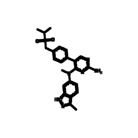 Cc1n[nH]c2cc(N(C)c3nc(N)ncc3-c3ccc(CS(=O)(=O)C(C)C)cc3)ccc12